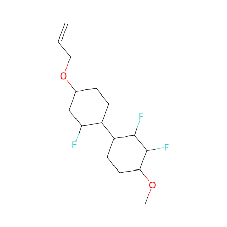 C=CCOC1CCC(C2CCC(OC)C(F)C2F)C(F)C1